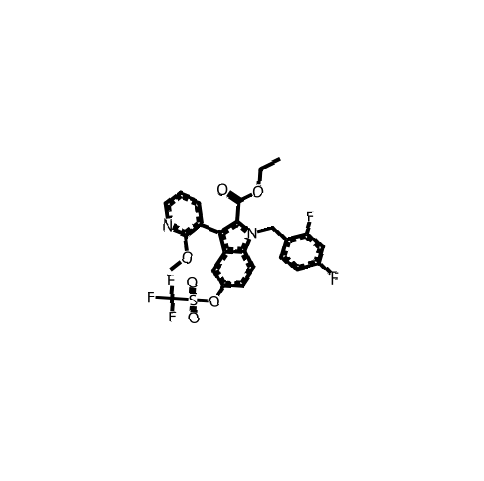 CCOC(=O)c1c(-c2cccnc2OC)c2cc(OS(=O)(=O)C(F)(F)F)ccc2n1Cc1ccc(F)cc1F